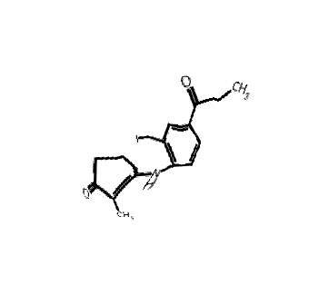 CCC(=O)c1ccc(NC2=C(C)C(=O)CC2)c(I)c1